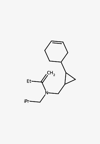 C=C(CC)N(CC(C)C)CC1CC1C1CC=CCC1